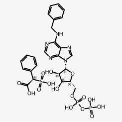 O=C(O)[C@@H](c1ccccc1)S(=O)(=O)O.O=P(O)(O)OP(=O)(O)OC[C@H]1O[C@@H](n2cnc3c(NCc4ccccc4)ncnc32)[C@H](O)[C@@H]1O